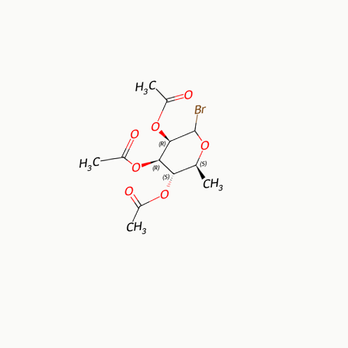 CC(=O)O[C@@H]1[C@@H](OC(C)=O)[C@@H](OC(C)=O)C(Br)O[C@H]1C